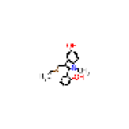 CCSCc1c(-c2ccccc2O)n(C)c2ccc(O)cc12